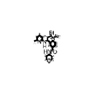 CC[C@H]1[C@H](C)[C@@H](Nc2cccc(C)n2)c2cc(C(=O)NC3CCOCC3)ccc2N1C(C)=O